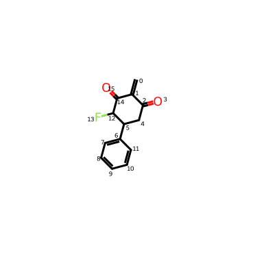 C=C1C(=O)CC(c2ccccc2)C(F)C1=O